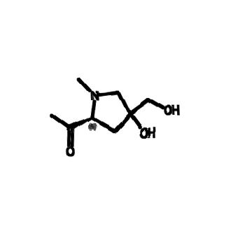 CC(=O)[C@@H]1CC(O)(CO)CN1C